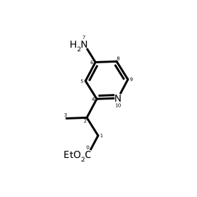 CCOC(=O)CC(C)c1cc(N)ccn1